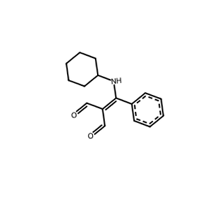 O=CC(C=O)=C(NC1CCCCC1)c1ccccc1